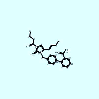 CCC=Cc1cn(C(=O)CCC)c(=O)n1Cc1ccc(-c2ccccc2C(=O)O)cc1